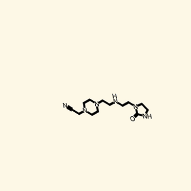 N#CCN1CCN(CCNCCN2CCNC2=O)CC1